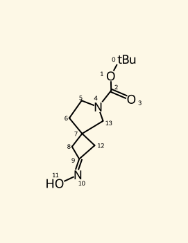 CC(C)(C)OC(=O)N1CCC2(CC(=NO)C2)C1